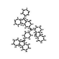 c1ccc(-n2c3ccccc3c3cc(N(c4ccc(-n5c6ccccc6c6ccccc65)cc4)c4cccc5c4sc4ccccc45)ccc32)cc1